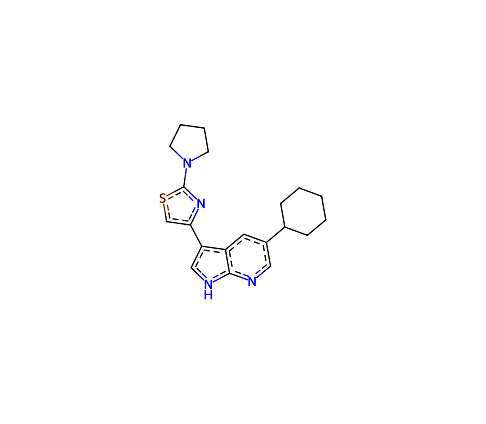 c1nc2[nH]cc(-c3csc(N4CCCC4)n3)c2cc1C1CCCCC1